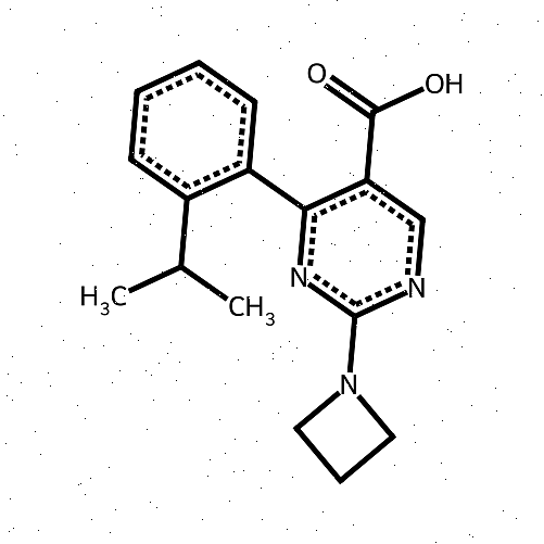 CC(C)c1ccccc1-c1nc(N2CCC2)ncc1C(=O)O